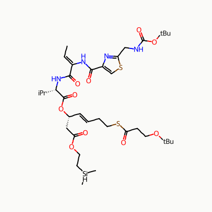 C/C=C(\NC(=O)c1csc(CNC(=O)OC(C)(C)C)n1)C(=O)N[C@H](C(=O)O[C@H](/C=C/CCSC(=O)CCOC(C)(C)C)CC(=O)OCC[SiH](C)C)C(C)C